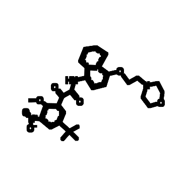 COc1c(C(=O)C(=O)Nc2ccc(OCCN3CCOCC3)c3ccccc23)cc(C(C)(C)C)cc1[N+](=O)[O-]